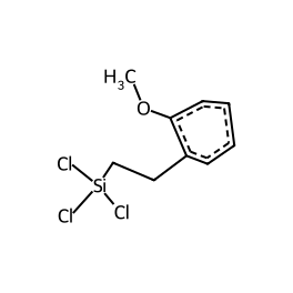 COc1ccccc1CC[Si](Cl)(Cl)Cl